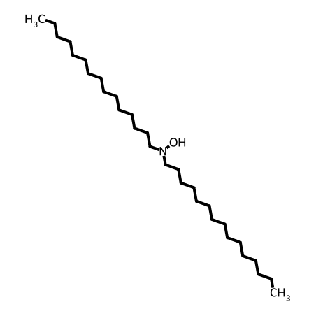 CCCCCCCCCCCCCCCN(O)CCCCCCCCCCCCCCC